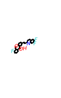 OC1c2cc(C=Cc3ccc4cc(F)c(F)cc4n3)ccc2OCc2c(F)cccc21